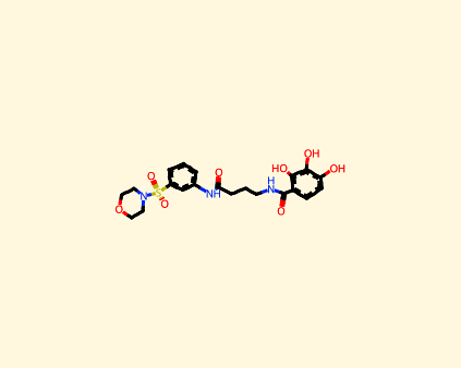 O=C(CCCNC(=O)c1ccc(O)c(O)c1O)Nc1cccc(S(=O)(=O)N2CCOCC2)c1